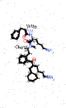 CN[C@@H](Cc1ccccc1)C(=O)N[C@@H](CCCCN)C(=O)N(C)[C@H]([C]=O)Cc1ccccc1C(=O)C(CCCCN)CC1CCCCC1